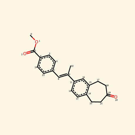 COC(=O)c1ccc(C=C(C)c2ccc3c(c2)CCC(=O)CC3)cc1